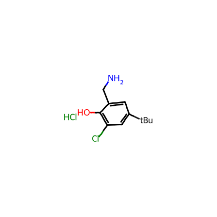 CC(C)(C)c1cc(Cl)c(O)c(CN)c1.Cl